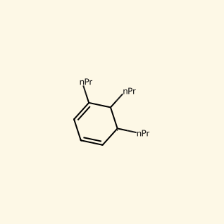 CCC[C]1C=CC=C(CCC)C1CCC